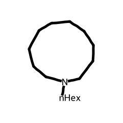 CCCCCCN1CCCCCCCCCC1